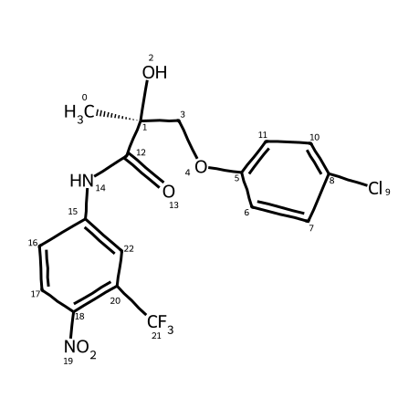 C[C@](O)(COc1ccc(Cl)cc1)C(=O)Nc1ccc([N+](=O)[O-])c(C(F)(F)F)c1